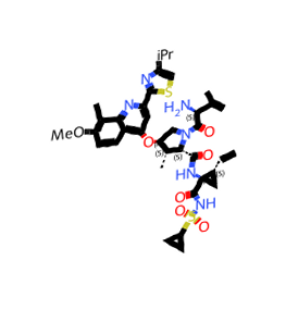 C=C[C@@H]1C[C@]1(NC(=O)[C@@H]1[C@H](C)[C@@H](Oc2cc(-c3nc(C(C)C)cs3)nc3c(C)c(OC)ccc23)CN1C(=O)[C@@H](N)C(=C)C)C(=O)NS(=O)(=O)C1CC1